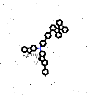 CC1(C)c2ccccc2-c2ccc(N(c3ccc(-c4ccc(-c5cccc6c5-c5ccccc5C65c6ccccc6-c6ccccc65)cc4)cc3)c3ccc4c(c3)C(C)(C)c3cc(-c5ccccc5)ccc3-4)cc21